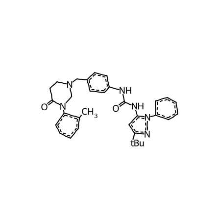 Cc1ccccc1N1CN(Cc2ccc(NC(=O)Nc3cc(C(C)(C)C)nn3-c3ccccc3)cc2)CCC1=O